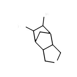 CC1C(C)C2CC1C1CSCC21